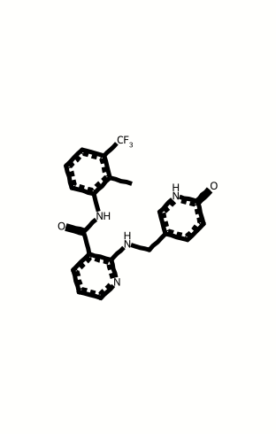 Cc1c(NC(=O)c2cccnc2NCc2ccc(=O)[nH]c2)cccc1C(F)(F)F